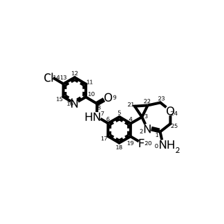 NC1=NC2(c3cc(NC(=O)c4ccc(Cl)cn4)ccc3F)CC2COC1